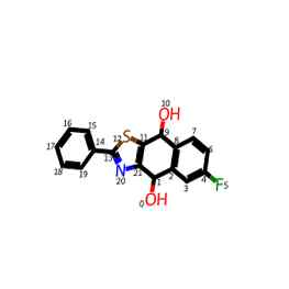 OC1c2cc(F)ccc2C(O)c2sc(-c3ccccc3)nc21